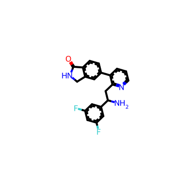 NC(Cc1ncccc1-c1ccc2c(c1)CNC2=O)c1cc(F)cc(F)c1